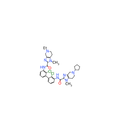 CCN1CCc2c(nc(C(=O)Nc3cccc(-c4cccc(NC(=O)c5nc6c(n5C)CCN(C5CCCC5)C6)c4Cl)c3Cl)n2C)C1